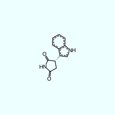 O=C1C[C@@H](c2c[nH]c3ccccc23)C(=O)N1